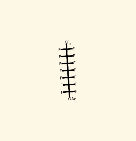 [CH2]C(=O)OC(F)(F)C(F)(F)C(F)(F)C(F)(F)C(F)(F)C(F)(F)C(F)(F)C(F)(F)F